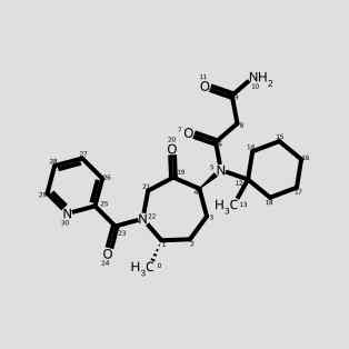 C[C@H]1CC[C@H](N(C(=O)CC(N)=O)C2(C)CCCCC2)C(=O)CN1C(=O)c1ccccn1